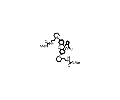 CNC(=O)NCCC1CCCCN1c1ccc2c(c1)Oc1cc(N3CCCCC3CCNC(=O)NC)ccc1C21OC(=O)c2ccccc21